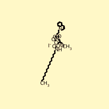 CCCCCCCCCCCCCCCCCCNC(=O)OCC(COC)CN(C(C)=O)S(=O)(=O)CCC[n+]1cccc2ccccc21.[I-]